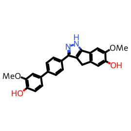 COc1cc(-c2ccc(-c3n[nH]c4c3Cc3cc(O)c(OC)cc3-4)cc2)ccc1O